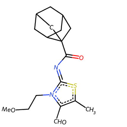 COCCn1c(C=O)c(C)sc1=NC(=O)C12CC3CC(CC1C3)C2